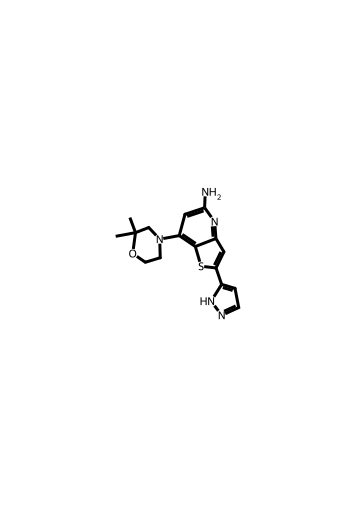 CC1(C)CN(c2cc(N)nc3cc(-c4ccn[nH]4)sc23)CCO1